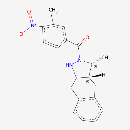 Cc1cc(C(=O)N2NC3Cc4ccccc4C[C@H]3[C@H]2C)ccc1[N+](=O)[O-]